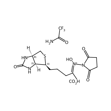 NC(=O)C(F)(F)F.O=C1N[C@H]2[C@H](CS[C@H]2CCCC(C(=O)O)=[N+](O)N2C(=O)CCC2=O)N1